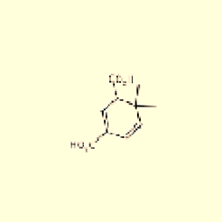 CC1(C)C=CC(C(=O)O)=CC1C(=O)O